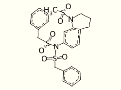 CS(=O)(=O)N1CCCc2ccc(N(S(=O)(=O)Cc3ccccc3)S(=O)(=O)Cc3ccccc3)cc21